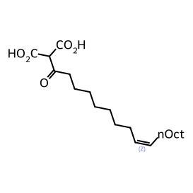 CCCCCCCC/C=C\CCCCCCCC(=O)C(C(=O)O)C(=O)O